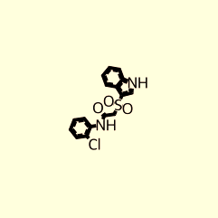 O=C(CS(=O)(=O)c1c[nH]c2ccccc12)Nc1ccccc1Cl